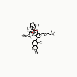 CCn1cc2c(Cl)c(-c3cn(COCC[Si](C)(C)C)c4nc(N5[C@@H]6CC[C@H]5C[C@@](C)(NC(=O)OC(C)(C)C)C6)n(C)c(=O)c34)ccc2n1